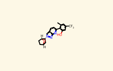 Cc1cc(C(F)(F)F)cc(O)c1-c1ccc2cn([C@@H]3C[C@H]4CC[C@@H]3O4)nc2n1